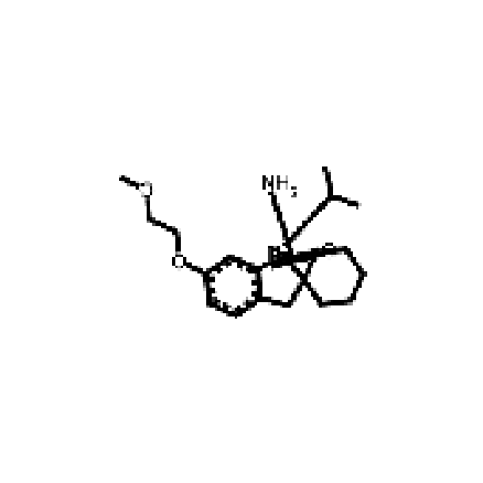 COCCOc1ccc2c(c1)C1(N=C(N)N(C(C)C)C1=O)C1(CCCCC1)C2